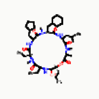 CCCCC(C)CC1NC(=O)C(CC2CCCCC2)N(C)C(=O)C(CC2CCCC2)NC(=O)[C@H](CC(C)C)N(C)C(=O)C(CC(C)C)NC(O)[C@@H](CCC#N)OC(=O)C(C)N(C)C1=O